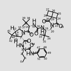 CCCN(NC(=O)[C@@H]1[C@@H]2[C@H](CN1C(=O)[C@@H](NC(=O)N[C@H](CN1C(=O)C3CC4CCC43C1=O)C(C)(C)C)C(C)(C)C)C2(C)C)C(=O)Nc1ccccc1